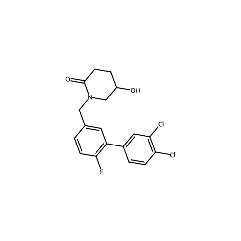 O=C1CCC(O)CN1Cc1ccc(F)c(-c2ccc(Cl)c(Cl)c2)c1